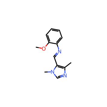 COc1ccccc1N=Cc1c(C)ncn1C